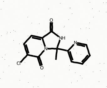 CC1(c2ccccn2)NC(=O)c2ccc(Cl)c(=O)n21